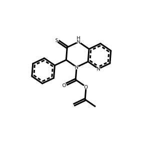 C=C(C)OC(=O)N1c2ncccc2NC(=S)C1c1ccccc1